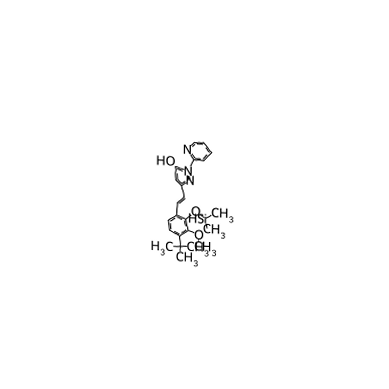 COc1c(C(C)(C)C)ccc(/C=C/c2cc(O)n(-c3ccccn3)n2)c1O[SiH](C)C